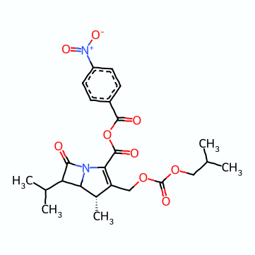 CC(C)COC(=O)OCC1=C(C(=O)OC(=O)c2ccc([N+](=O)[O-])cc2)N2C(=O)C(C(C)C)C2[C@H]1C